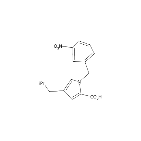 CC(C)Cc1cc(C(=O)O)n(Cc2cccc([N+](=O)[O-])c2)c1